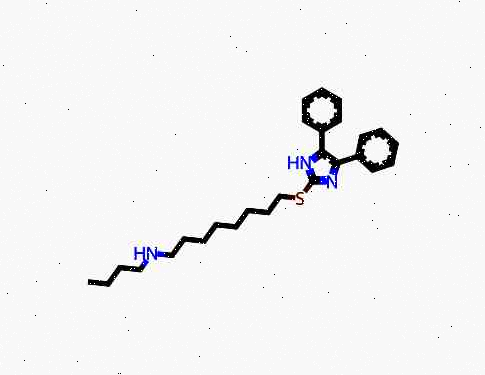 CCCCNCCCCCCCCSc1nc(-c2ccccc2)c(-c2ccccc2)[nH]1